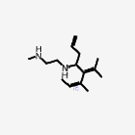 C=CCC(NCCNC)C(=C(C)C)/C(C)=C\C